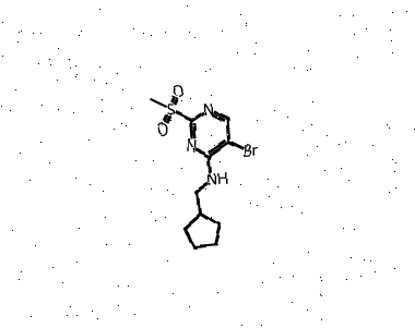 CS(=O)(=O)c1ncc(Br)c(NCC2CCCC2)n1